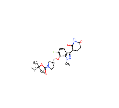 Cn1nc(C2CCC(=O)NC2=O)c2ccc(F)c(OC[C@@H]3CCN(C(=O)OC(C)(C)C)C3)c21